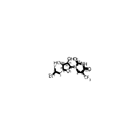 CCC(I)C[C@H]1OC(n2cc(C(F)(F)F)c(=O)[nH]c2=O)[C@H](O)[C@@H]1O